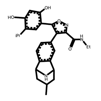 CCNC(=O)c1noc(-c2cc(C(C)C)c(O)cc2O)c1-c1ccc2c(c1)C1CC(C)CC2N1